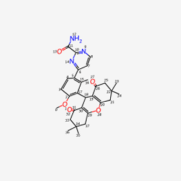 COc1ccc(-c2ccnc(C(N)=O)n2)c(C)c1C1C2=C(CC(C)(C)CC2=O)OC2=C1C(=O)CC(C)(C)C2